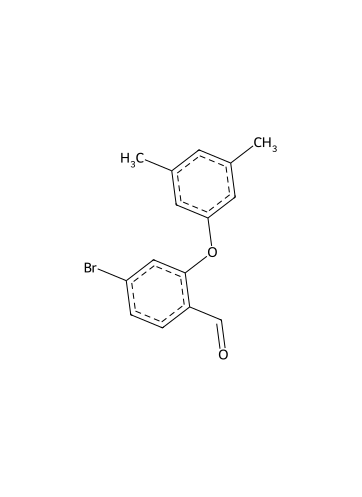 Cc1cc(C)cc(Oc2cc(Br)ccc2C=O)c1